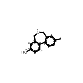 Cc1ccc2c(c1)COCc1cc(O)ccc1-2